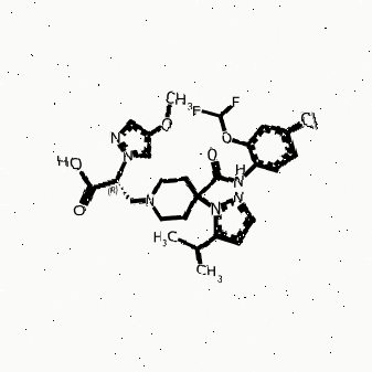 COc1cnn([C@H](CN2CCC(C(=O)Nc3ccc(Cl)cc3OC(F)F)(n3nccc3C(C)C)CC2)C(=O)O)c1